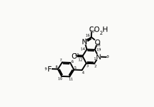 Cn1cc(Cc2ccc(F)cc2)c(=O)c2nc(C(=O)O)oc21